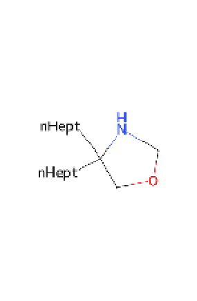 CCCCCCCC1(CCCCCCC)COCN1